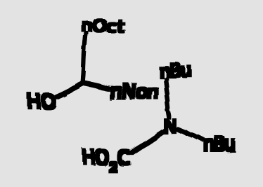 CCCCCCCCCC(O)CCCCCCCC.CCCCN(CCCC)C(=O)O